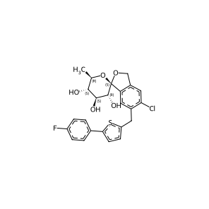 C[C@H]1O[C@]2(OCc3cc(Cl)c(Cc4ccc(-c5ccc(F)cc5)s4)cc32)[C@H](O)[C@@H](O)[C@@H]1O